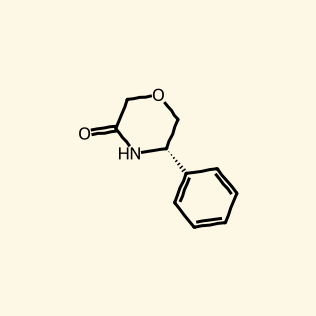 O=C1COC[C@H](c2ccccc2)N1